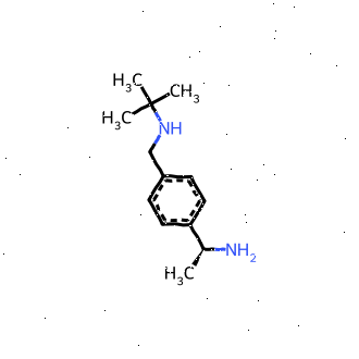 C[C@H](N)c1ccc(CNC(C)(C)C)cc1